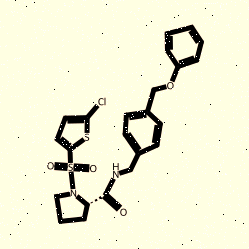 O=C(NCc1ccc(COc2ccccc2)cc1)[C@@H]1CCCN1S(=O)(=O)c1ccc(Cl)s1